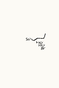 CCC[CH2][Sn+3].[Br-].[OH-].[OH-]